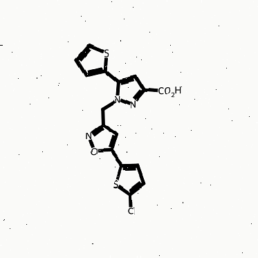 O=C(O)c1cc(-c2cccs2)n(Cc2cc(-c3ccc(Cl)s3)on2)n1